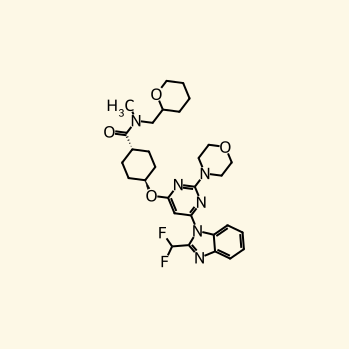 CN(CC1CCCCO1)C(=O)[C@H]1CC[C@H](Oc2cc(-n3c(C(F)F)nc4ccccc43)nc(N3CCOCC3)n2)CC1